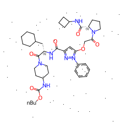 CCCCOC(=O)NC1CCN(C(=O)[C@H](CC2CCCCC2)NC(=O)c2cc(OCC(=O)N3CCC[C@H]3C(=O)NC3CCC3)n(-c3ccccc3)n2)CC1